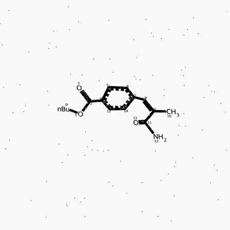 CCCCOC(=O)c1ccc(C=C(C)C(N)=O)cc1